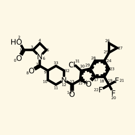 O=C(O)C1CCN1C(=O)C1CCN(C(=O)c2oc3c(C(F)(F)F)cc(C4CC4)cc3c2Cl)CC1